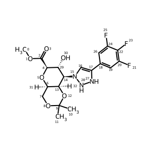 COC(=O)[C@@H]1O[C@@H]2COC(C)(C)O[C@@H]2[C@H](N2C=C(c3cc(F)c(F)c(F)c3)NN2)[C@H]1O